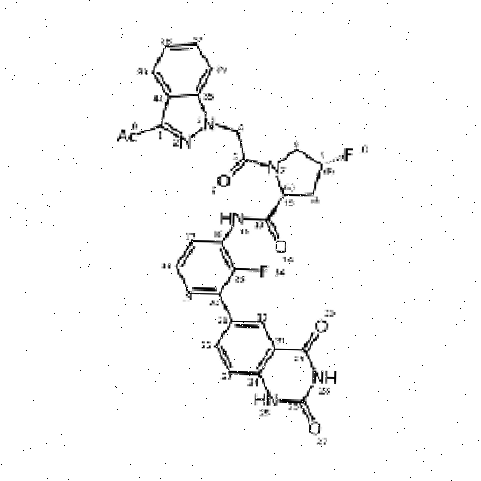 CC(=O)c1nn(CC(=O)N2C[C@H](F)C[C@H]2C(=O)Nc2cccc(-c3ccc4[nH]c(=O)[nH]c(=O)c4c3)c2F)c2ccccc12